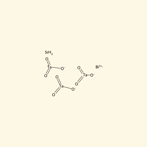 [Bi+3].[O]=[Ta](=[O])[O-].[O]=[Ta](=[O])[O-].[O]=[Ta](=[O])[O-].[SrH2]